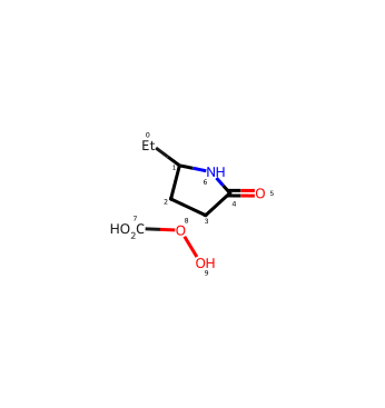 CCC1CCC(=O)N1.O=C(O)OO